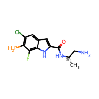 C[C@@H](CN)NC(=O)c1cc2cc(Cl)c(P)c(F)c2[nH]1